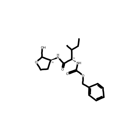 CCC(C)[C@H](NC(=O)OCc1ccccc1)C(=O)N[C@H]1CCOC1O